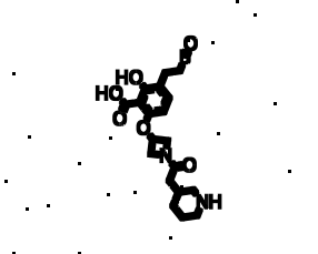 O=BCCc1ccc(OC2CN(C(=O)CC3CCCNC3)C2)c(C(=O)O)c1O